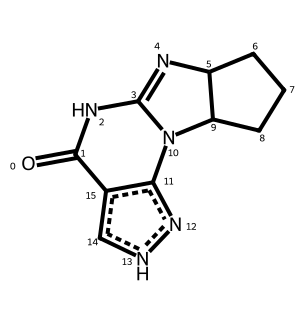 O=C1NC2=NC3CCCC3N2c2n[nH]cc21